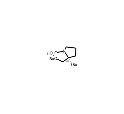 CC(C)COC[C@]1(C(C)(C)C)CCCN1C(=O)O